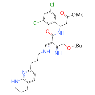 COC(=O)CC(NC(=O)/C(=C/NCCCc1ccc2c(n1)NCCC2)C(=N)COC(C)(C)C)c1cc(Cl)cc(Cl)c1